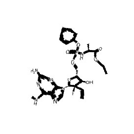 C=C[C@@]1(F)[C@H](O)[C@@H](COP(=O)(N[C@@H](C)C(=O)OCC)Oc2ccccc2)O[C@H]1n1cnc2c(NC)nc(N)nc21